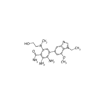 CCn1cnc2cc(-c3cc(N(C)CCO)c(C(N)=O)c(N)c3N)cc(OC)c21